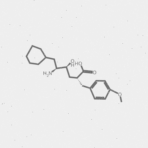 COc1ccc(C[C@H](C[C@H](O)[C@@H](N)CC2CCCCC2)C(=O)O)cc1